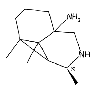 C[C@@H]1NCC2(N)CCCC3(C)C1C23C